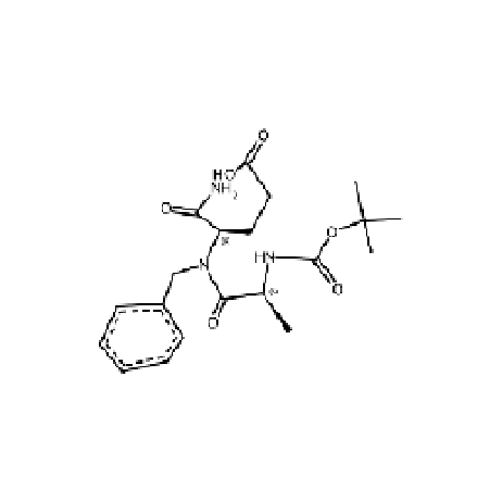 C[C@H](NC(=O)OC(C)(C)C)C(=O)N(Cc1ccccc1)[C@H](CCC(=O)O)C(N)=O